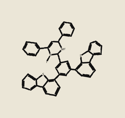 IN1C(c2ccccc2)=CC(c2ccccc2)NC1c1cc(-c2cccc3c2sc2ccccc23)cc(-c2cccc3c2sc2ccccc23)c1